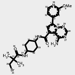 COc1cc(-c2cc(C(=O)NC3CCC(NC(=O)C(C)(C)CBr)CC3)c3c(N)ncnn23)ccn1